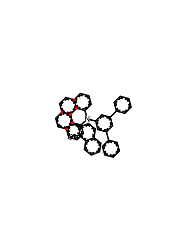 c1ccc(-c2cc(-c3ccccc3)cc(N(c3ccccc3-c3ccccc3)c3ccccc3-c3cccc4oc5c6ccccc6ccc5c34)c2)cc1